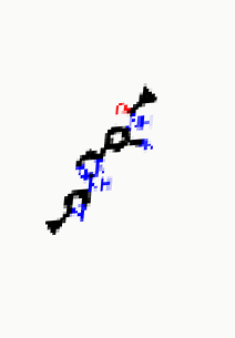 N#Cc1cc(-c2ccnc(Nc3ccc(C4CC4)nc3)n2)ccc1NC(=O)C1CC1